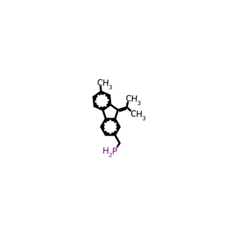 CC(C)=C1c2cc(C)ccc2-c2ccc(CP)cc21